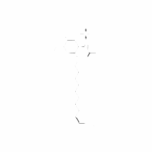 C/C=C\CCCCCCCCO[C@H]1O[C@H](CO)[C@@H](O)[C@H](OS(=O)(=O)O)[C@H]1NC(C)=O